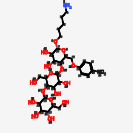 NCCCCCO[C@@H]1OC(COc2ccc([N+](=O)[O-])cc2)[C@@H](O[C@@H]2OC(CO)[C@H](O[C@H]3OC(CO)[C@H](O)C(O)C3O)C(O)C2O)C(O)C1O